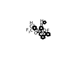 Cc1ccc(NC(=O)[C@@H]2Cc3cccc4c5cccc(F)c5c(=O)n(c34)[C@@H]2c2ccc(NC3CCCC3)cc2)cc1C(F)(F)F